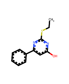 CCSc1nc(O)cc(-c2ccccc2)n1